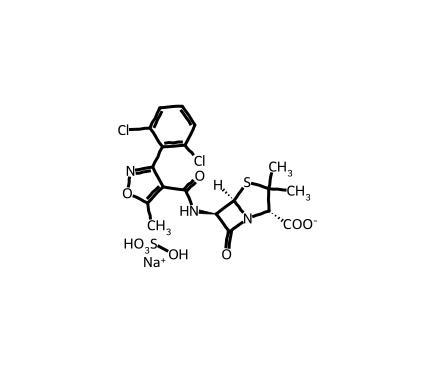 Cc1onc(-c2c(Cl)cccc2Cl)c1C(=O)N[C@@H]1C(=O)N2[C@@H]1SC(C)(C)[C@@H]2C(=O)[O-].O=S(=O)(O)O.[Na+]